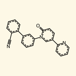 N#Cc1ccccc1-c1cccc(-n2cc(-c3ccccn3)ccc2=O)c1